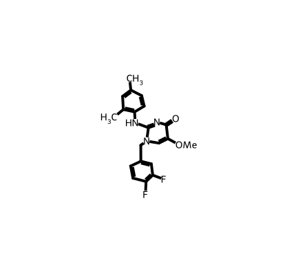 COc1cn(Cc2ccc(F)c(F)c2)c(Nc2ccc(C)cc2C)nc1=O